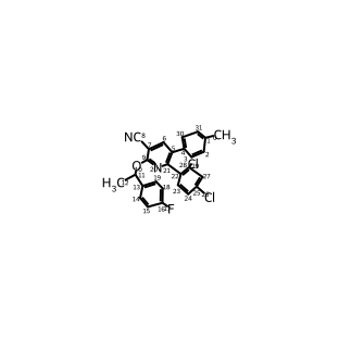 Cc1ccc(-c2cc(C#N)c(OC(C)c3ccc(F)cc3)nc2-c2ccc(Cl)cc2Cl)cc1